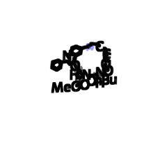 CCCC[C@@H]1NC(=O)OCCCCC/C=C/c2ccc3nc(-c4ccccc4)cc(c3c2)O[C@@H]2C[C@@H](C(=O)OC)N(C2)C1=O